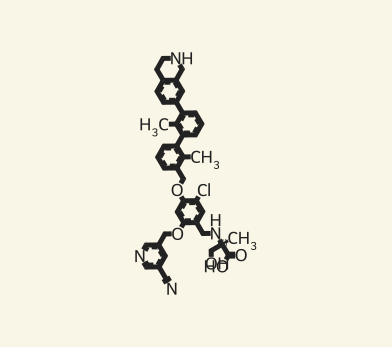 Cc1c(COc2cc(OCc3cncc(C#N)c3)c(CN[C@@](C)(CO)C(=O)O)cc2Cl)cccc1-c1cccc(-c2ccc3c(c2)CNCC3)c1C